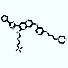 C[Si](C)(C)CCOCNc1nc2cc(Nc3cncc(OCCCN4CCOCC4)c3)cnc2cc1-c1nnc(C2CCCC2)s1